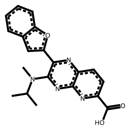 CC(C)N(C)c1nc2nc(C(=O)O)ccc2nc1-c1cc2ccccc2o1